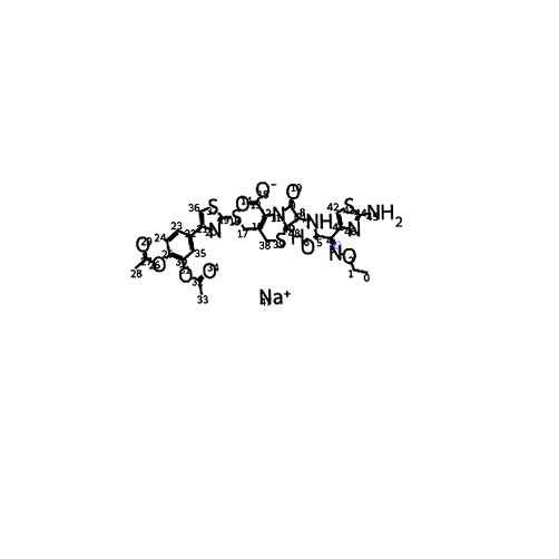 CCO/N=C(/C(=O)N[C@@H]1C(=O)N2C(C(=O)[O-])=C(CSc3nc(-c4ccc(OC(C)=O)c(OC(C)=O)c4)cs3)CS[C@H]12)c1csc(N)n1.[Na+]